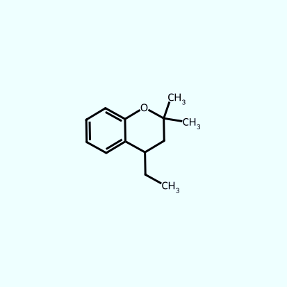 CCC1CC(C)(C)Oc2ccccc21